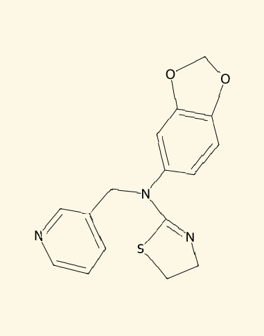 c1cncc(CN(C2=NCCS2)c2ccc3c(c2)OCO3)c1